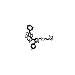 C[Si](C)(C)CCOCn1cc(-c2ncnc3oc(-c4ccccc4)nc23)c(-c2ccc(F)cc2)n1